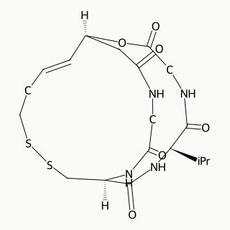 CC(C)[C@H]1NC(=O)[C@H]2CSSCC/C=C/[C@H](CC(=O)NCC(=O)N2)OC(=O)CNC1=O